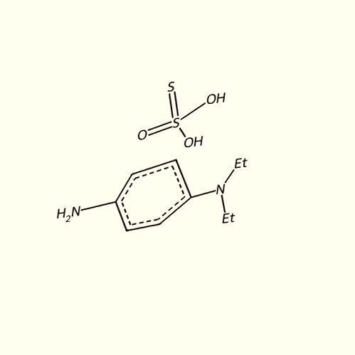 CCN(CC)c1ccc(N)cc1.O=S(O)(O)=S